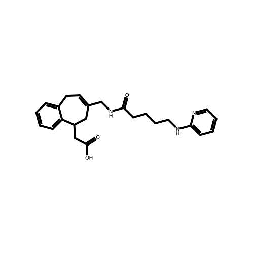 O=C(O)CC1CC(CNC(=O)CCCCNc2ccccn2)=CCc2ccccc21